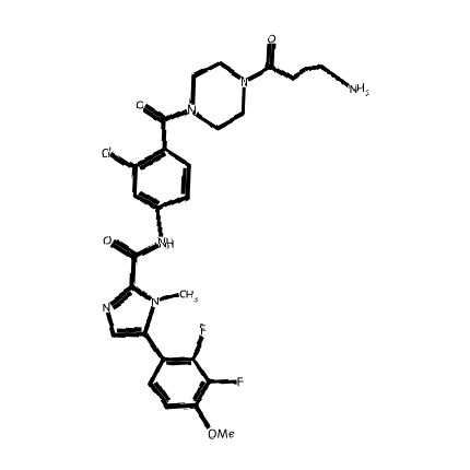 COc1ccc(-c2cnc(C(=O)Nc3ccc(C(=O)N4CCN(C(=O)CCN)CC4)c(Cl)c3)n2C)c(F)c1F